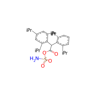 CC(C)c1cc(C(C)C)c(C(C(=O)OS(N)(=O)=O)c2c(C(C)C)cccc2C(C)C)c(C(C)C)c1